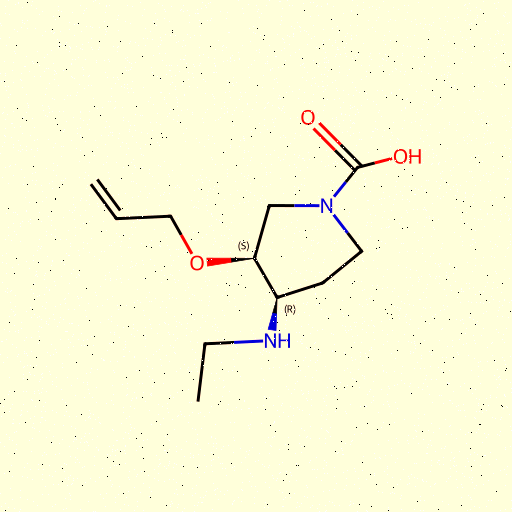 C=CCO[C@H]1CN(C(=O)O)CC[C@H]1NCC